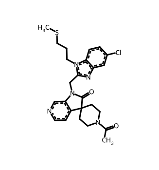 CSCCCn1c(CN2C(=O)C3(CCN(C(C)=O)CC3)c3ccncc32)nc2cc(Cl)ccc21